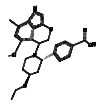 CCO[C@H]1CCN(C2COc3c[nH]c4c(C)cc(OC)c2c34)[C@H](c2ccc(C(=O)O)cc2)C1